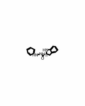 O=C(NNc1ccccc1)[C@@H]1Cc2ccccc2N1